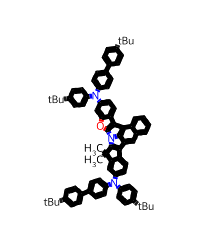 CC(C)(C)c1ccc(-c2ccc(N(c3ccc(C(C)(C)C)cc3)c3ccc4c(c3)C(C)(C)c3c-4c4cc5ccccc5c5c6c7ccc(N(c8ccc(-c9ccc(C(C)(C)C)cc9)cc8)c8ccc(C(C)(C)C)cc8)cc7oc6n3c45)cc2)cc1